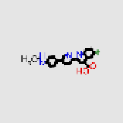 CCNc1ccc(-c2ccc(-c3cc(C(=O)O)c4cc(F)ccc4n3)nc2)cc1